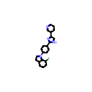 Fc1cccc2ccn(-c3ccc(-c4nc(-c5cccnc5)c[nH]4)cc3)c12